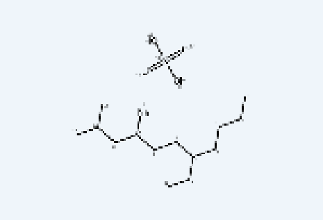 CCCCC(CC)CC[CH]([Na])CC(C)C.O=S(=O)(O)O